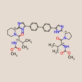 COC(=O)N[C@H](C(=O)N1CCCC[C@H]1c1ncc(-c2ccc(-c3ccc(-c4cnc([C@@H]5CCCN5C(=O)[C@@H](NC(=O)OC)C(C)C)[nH]4)cc3)cc2)[nH]1)C(C)C